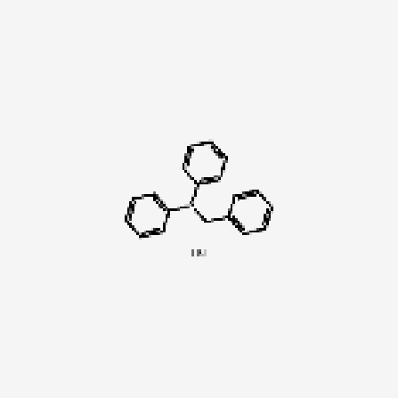 Cl.c1ccc(CP(c2ccccc2)c2ccccc2)cc1